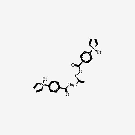 C=C[Si](C=C)(CC)c1ccc(C(=O)OOC(=C)OOC(=O)c2ccc([Si](C=C)(C=C)CC)cc2)cc1